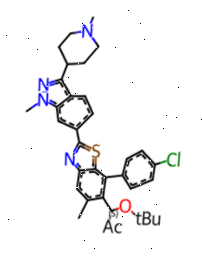 CC(=O)[C@@H](OC(C)(C)C)c1c(C)cc2nc(-c3ccc4c(C5CCN(C)CC5)nn(C)c4c3)sc2c1-c1ccc(Cl)cc1